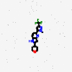 Cn1nc(C(F)(F)F)cc1-c1ccc2[nH]c(C3CCOCC3)cc2n1